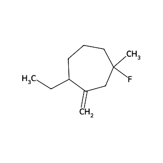 C=C1CC(C)(F)CCCC1CC